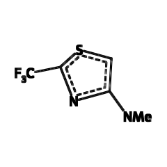 CNc1csc(C(F)(F)F)n1